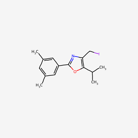 Cc1cc(C)cc(-c2nc(CI)c(C(C)C)o2)c1